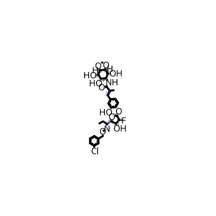 CC/C(=N\OCc1cccc(Cl)c1)[C@H]1O[C@@H](Oc2ccc(/C=C(\C)C(=O)N[C@@H]3[C@H](O)[C@@H](O)[C@H]4OCO[C@H]4[C@@H]3O)cc2O)[C@@H](F)[C@@H]1O